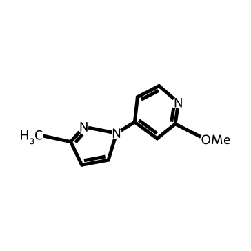 COc1cc(-n2ccc(C)n2)ccn1